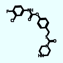 O=C(Nc1ccc(F)c(Cl)c1)Oc1ccc(CSC(=O)N2CCNCC2)cc1